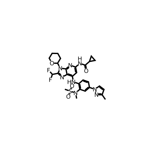 Cc1ccn(-c2ccc(Nc3cc(NC(=O)C4CC4)nc4c3nc(C(F)F)n4C3CCCCO3)c(N(C)S(C)(=O)=O)c2)n1